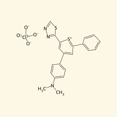 CN(C)c1ccc(-c2cc(-c3ccccc3)[s+]c(-c3nncs3)c2)cc1.[O-][Cl+3]([O-])([O-])[O-]